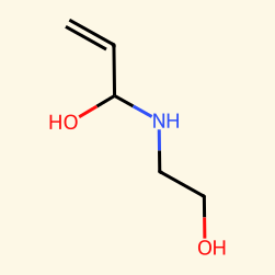 C=CC(O)NCCO